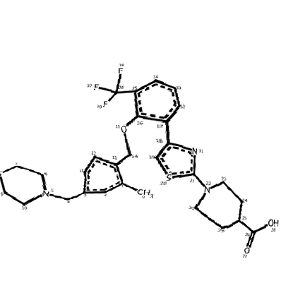 Cc1cc(CN2CCSCC2)ccc1COc1c(-c2csc(N3CCC(C(=O)O)CC3)n2)cccc1C(F)(F)F